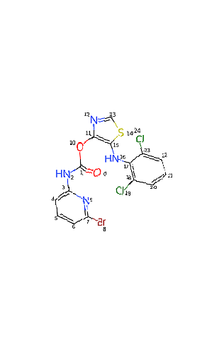 O=C(Nc1cccc(Br)n1)Oc1ncsc1Nc1c(Cl)cccc1Cl